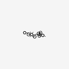 Cc1ccc(S(=O)(=O)OCCC2OCc3c(C)c(OCc4ccccc4)c(C)c(C)c32)cc1